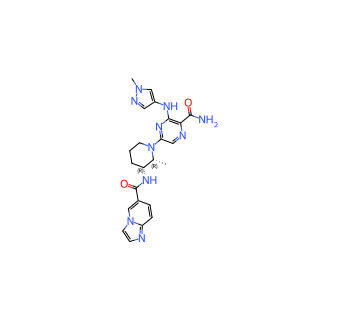 C[C@@H]1[C@H](NC(=O)c2ccc3nccn3c2)CCCN1c1cnc(C(N)=O)c(Nc2cnn(C)c2)n1